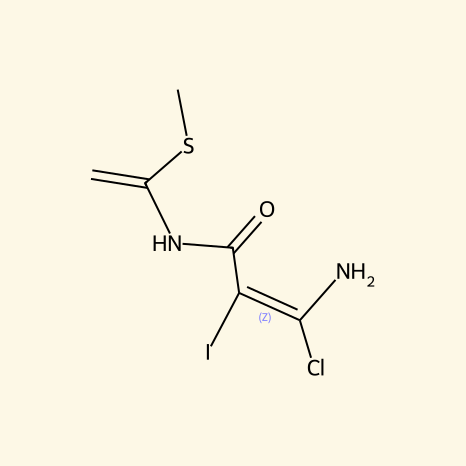 C=C(NC(=O)/C(I)=C(\N)Cl)SC